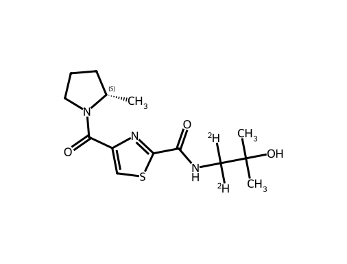 [2H]C([2H])(NC(=O)c1nc(C(=O)N2CCC[C@@H]2C)cs1)C(C)(C)O